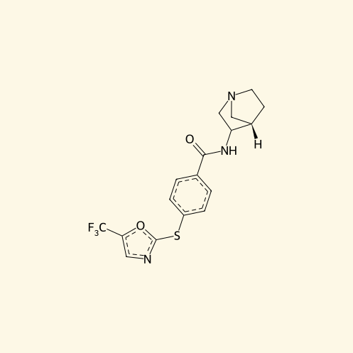 O=C(NC1CN2CC[C@H]1C2)c1ccc(Sc2ncc(C(F)(F)F)o2)cc1